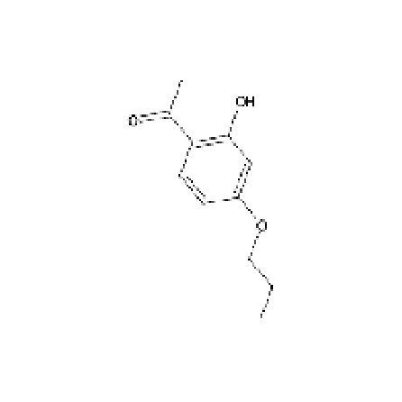 CCCOc1ccc(C(C)=O)c(O)c1